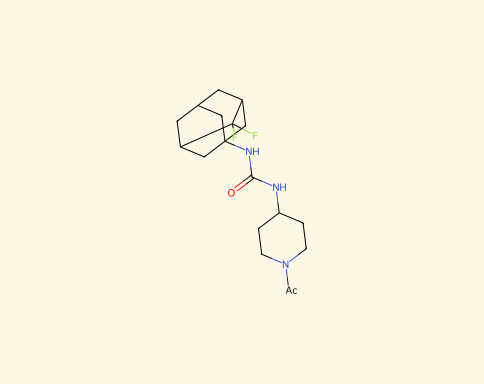 CC(=O)N1CCC(NC(=O)NC23CC4CC(C2)C(F)(F)C(C4)C3)CC1